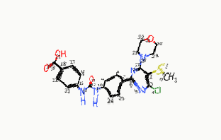 CSc1c(Cl)nc(-c2ccc(NC(=O)Nc3ccc(C(=O)O)cc3)cc2)nc1N1CCOCC1